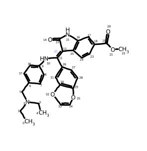 CCN(CC)Cc1ccc(N/C(=C2\C(=O)Nc3cc(C(=O)OC)ccc32)c2ccc3c(c2)OC=CO3)cc1